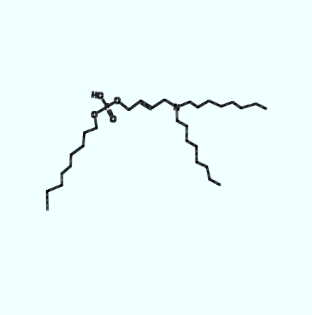 CCCCCCCCCOP(=O)(O)OCC=CCN(CCCCCCCC)CCCCCCCC